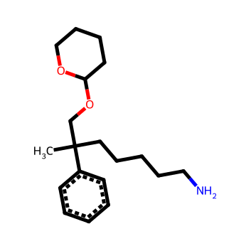 CC(CCCCCN)(COC1CCCCO1)c1ccccc1